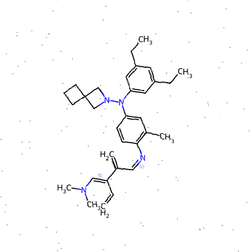 C=C/C(=C\N(C)C)C(=C)/C=N\c1ccc(N(c2cc(CC)cc(CC)c2)N2CC3(CCC3)C2)cc1C